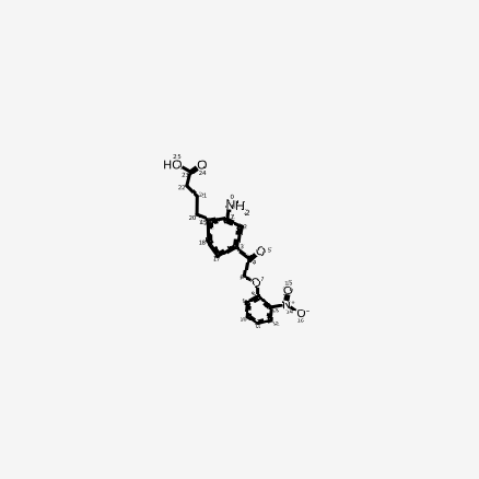 Nc1cc(C(=O)COc2ccccc2[N+](=O)[O-])ccc1CCCC(=O)O